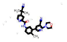 Cc1ccc(NC(=O)c2cc(C(C)(C)C#N)ccn2)cc1-c1cnc(N2CCOCC2)c(C#N)c1